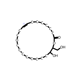 O=C1CCCCCC/C=C\CCOCCCCCCCCC(O)C(CO)O1